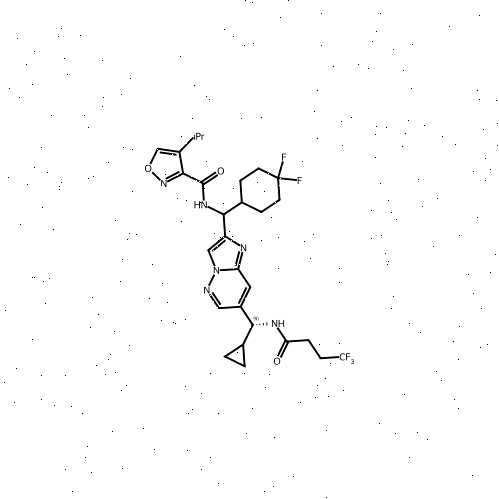 CC(C)c1conc1C(=O)NC(c1cn2ncc([C@H](NC(=O)CCC(F)(F)F)C3CC3)cc2n1)C1CCC(F)(F)CC1